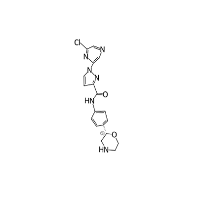 O=C(Nc1ccc([C@H]2CNCCO2)cc1)c1ccn(-c2cncc(Cl)n2)n1